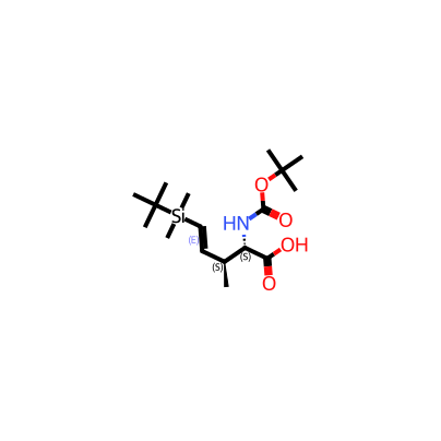 C[C@@H](/C=C/[Si](C)(C)C(C)(C)C)[C@H](NC(=O)OC(C)(C)C)C(=O)O